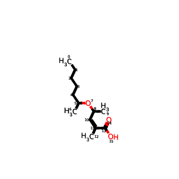 CCCCCC(C)OC(C)C=C(C)C(=O)O